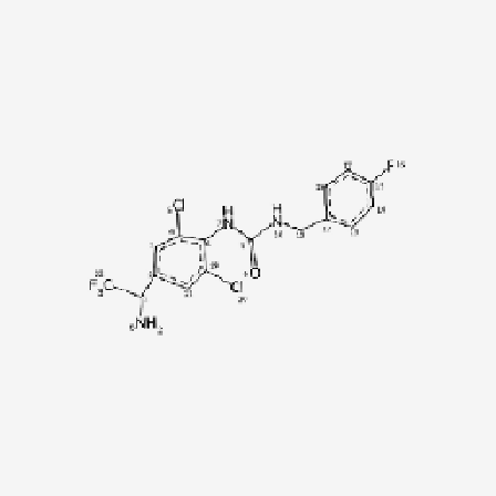 NC(c1cc(Cl)c(NC(=O)NCc2ccc(F)cc2)c(Cl)c1)C(F)(F)F